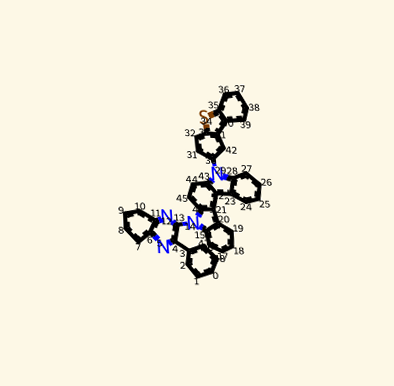 c1ccc(-c2nc3ccccc3nc2-n2c3ccccc3c3c4c5ccccc5n(-c5ccc6sc7ccccc7c6c5)c4ccc32)cc1